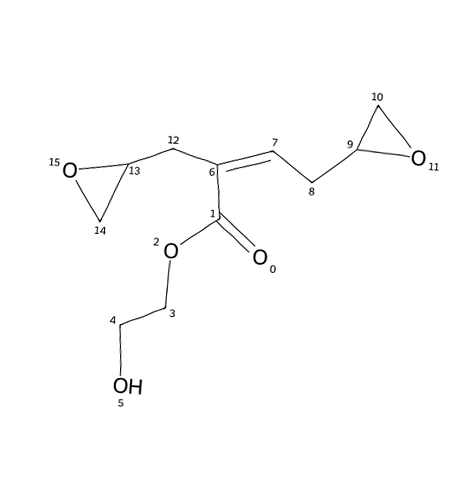 O=C(OCCO)C(=CCC1CO1)CC1CO1